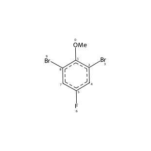 COc1c(Br)cc(F)cc1Br